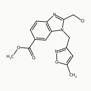 COC(=O)c1ccc2nc(CCl)n(Cc3cc(C)on3)c2c1